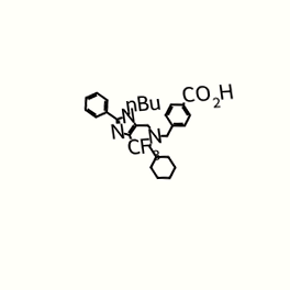 CCCCn1c(-c2ccccc2)nc(C(F)(F)F)c1CN(Cc1ccc(C(=O)O)cc1)CC1CCCCC1